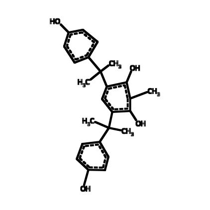 Cc1c(O)c(C(C)(C)c2ccc(O)cc2)cc(C(C)(C)c2ccc(O)cc2)c1O